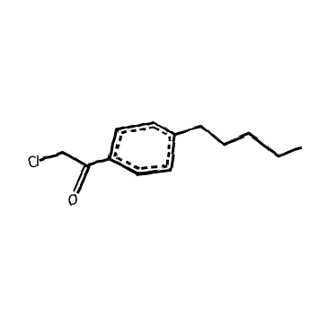 CCCCCc1ccc(C(=O)CCl)cc1